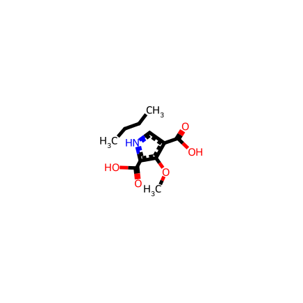 CCCC.COc1c(C(=O)O)c[nH]c1C(=O)O